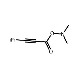 CC(C)C#CC(=O)ON(C)C